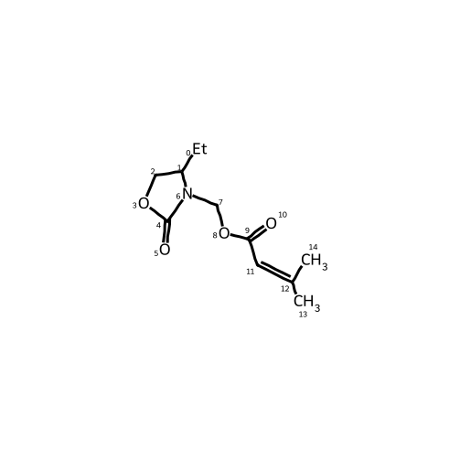 CCC1COC(=O)N1COC(=O)C=C(C)C